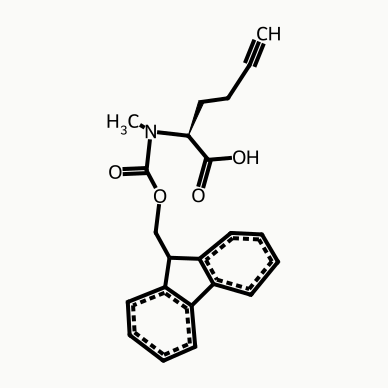 C#CCC[C@@H](C(=O)O)N(C)C(=O)OCC1c2ccccc2-c2ccccc21